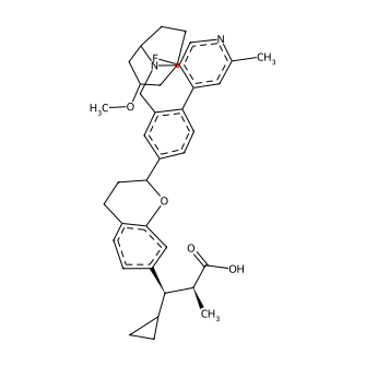 COC1CC2CCC(C1)N2Cc1cc(C2CCc3ccc([C@H](C4CC4)[C@H](C)C(=O)O)cc3O2)ccc1-c1cc(C)ncc1F